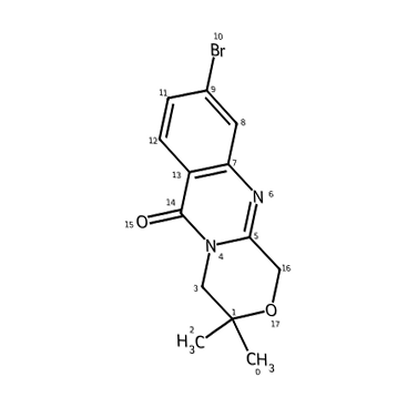 CC1(C)Cn2c(nc3cc(Br)ccc3c2=O)CO1